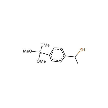 CO[Si](OC)(OC)c1ccc(C(C)S)cc1